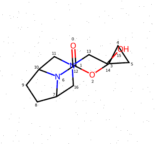 O=C(OC1CC1)N1C2CCC1CN(CCO)C2